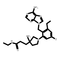 CCNC(=O)CCC1(N)CCN(c2cc(Cl)cc(CC)c2Cn2cnc3c(N)ncnc32)C1